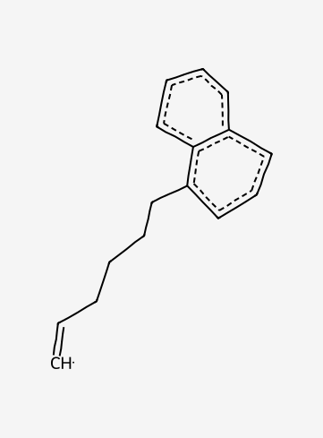 [CH]=CCCCCc1cccc2ccccc12